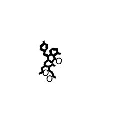 CCCC(CC1CC(=O)c2c(C)cccc2/C1=C\c1ccc(C)cc1)C(CC)C(=O)CC(C)=O